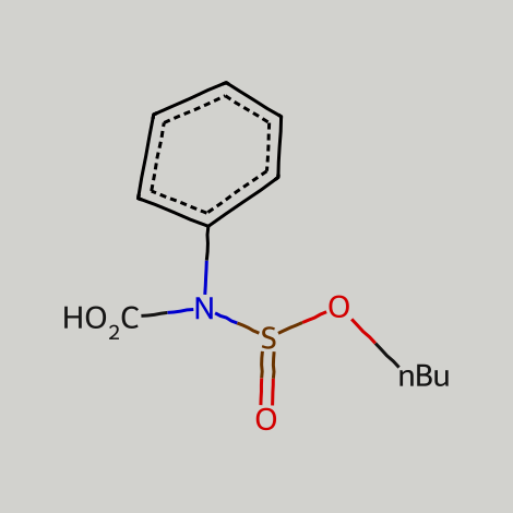 CCCCOS(=O)N(C(=O)O)c1ccccc1